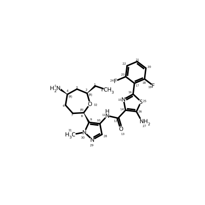 CC[C@@H]1C[C@H](N)CC[C@H](c2c(NC(=O)c3nc(-c4c(F)cccc4F)sc3N)cnn2C)O1